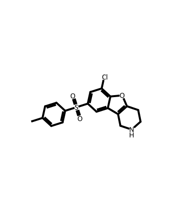 Cc1ccc(S(=O)(=O)c2cc(Cl)c3oc4c(c3c2)CNCC4)cc1